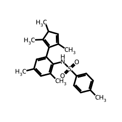 CC1=CC(C)C(C)=C1c1cc(C)cc(C)c1NS(=O)(=O)c1ccc(C)cc1